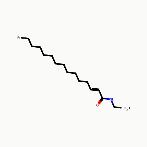 CC(C)CCCCCCCCCCCC=CC(=O)NCC(=O)O